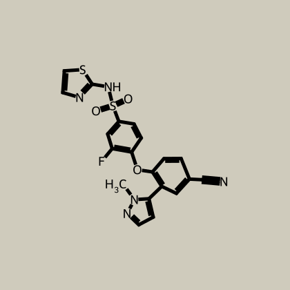 Cn1nccc1-c1cc(C#N)ccc1Oc1ccc(S(=O)(=O)Nc2nccs2)cc1F